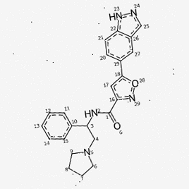 O=C(NC(CN1CCCC1)c1ccccc1)c1cc(-c2ccc3[nH]ncc3c2)on1